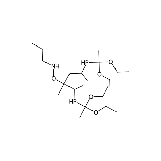 CCCNOC(C)(CC(C)PC(C)(OCC)OCC)C(C)PC(C)(OCC)OCC